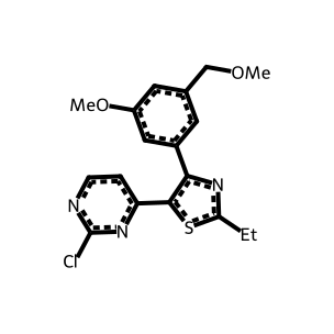 CCc1nc(-c2cc(COC)cc(OC)c2)c(-c2ccnc(Cl)n2)s1